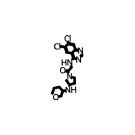 O=C(CNc1ncnc2cc(Cl)c(Cl)cc12)N1CC[C@@H](NC2CCCOC2)C1